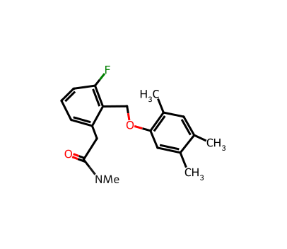 CNC(=O)Cc1cccc(F)c1COc1cc(C)c(C)cc1C